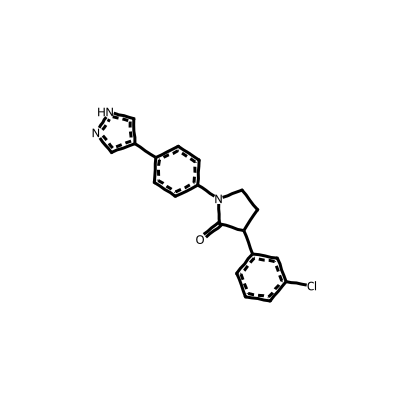 O=C1C(c2cccc(Cl)c2)CCN1c1ccc(-c2cn[nH]c2)cc1